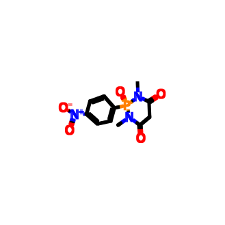 CN1C(=O)CC(=O)N(C)P1(=O)c1ccc([N+](=O)[O-])cc1